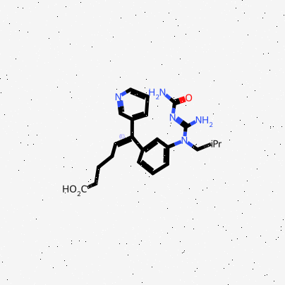 CC(C)CN(C(N)=NC(N)=O)c1cccc(/C(=C\CCCC(=O)O)c2cccnc2)c1